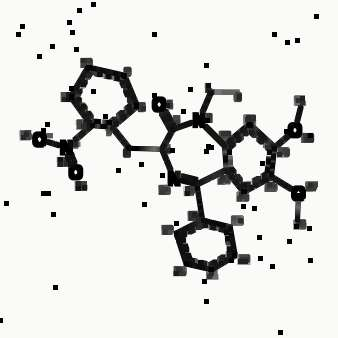 CCN1C(=O)C(Cc2ccccc2[N+](=O)[O-])N=C(c2ccccc2)c2cc(OC)c(OC)cc21